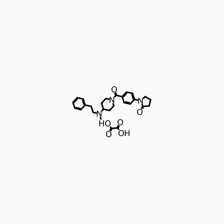 CN(CCc1ccccc1)C1CCN(C(=O)c2ccc(N3CCCC3=O)cc2)CC1.O=C(O)C(=O)O